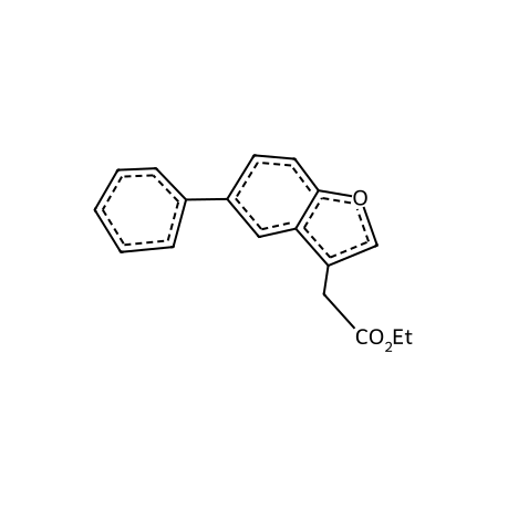 CCOC(=O)Cc1coc2ccc(-c3ccccc3)cc12